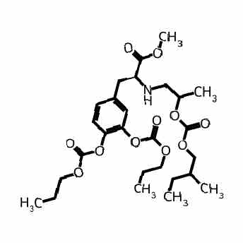 CCCOC(=O)Oc1ccc(C[C@H](NCC(C)OC(=O)OCC(C)CC)C(=O)OC)cc1OC(=O)OCCC